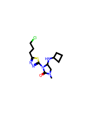 CN1CC(NC2CCC2)N(c2nnc(CCCCl)s2)C1=O